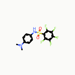 CN(C)c1ccc(NS(=O)(=O)c2c(F)c(F)c(F)c(F)c2F)cc1